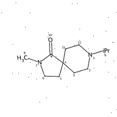 CC(C)N1CCC2(CCN(C)C2=O)CC1